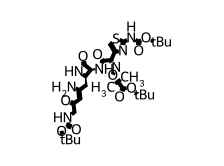 CC(C)(C)OC(=O)NCC(=O)/C=C(\N)C[C@H]1NC(=O)[C@H]1NC(=O)/C(=N\OC(C)(C)C(=O)OC(C)(C)C)c1csc(NC(=O)OC(C)(C)C)n1